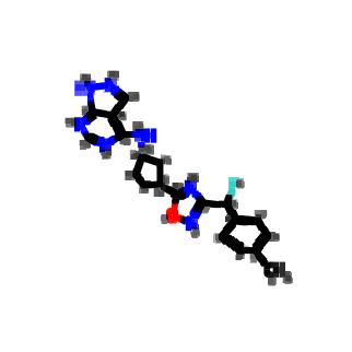 Cc1ccc(C(F)c2noc([C@H]3CC[C@H](Nc4ncnc5[nH]ncc45)C3)n2)cc1